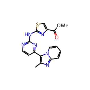 COC(=O)c1csc(Nc2nccc(-c3c(C)nc4ccccn34)n2)n1